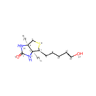 O=C1N[C@H]2[C@H](CS[C@H]2CCCCCO)N1